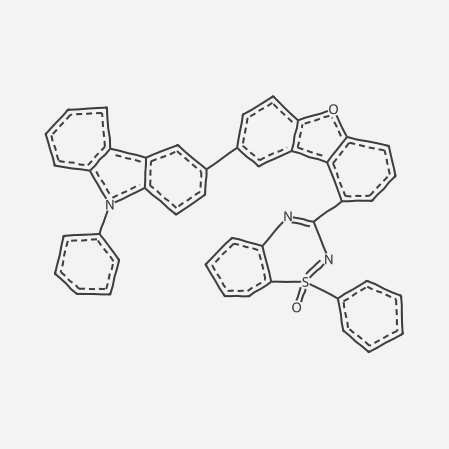 O=S1(c2ccccc2)=NC(c2cccc3oc4ccc(-c5ccc6c(c5)c5ccccc5n6-c5ccccc5)cc4c23)=Nc2ccccc21